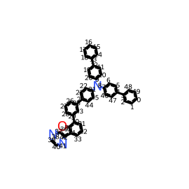 c1ccc(-c2ccc(N(c3ccc(-c4ccccc4)cc3)c3ccc(-c4cccc(-c5cccc6c5oc5nccnc56)c4)cc3)cc2)cc1